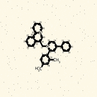 Cc1ccc(-c2cc(-c3ccccc3)cc[n+]2Cc2c[n+]3ccccc3c3ccccc23)c(C)c1